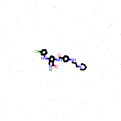 O=C(Nc1ccc(Nc2cccc(Cl)c2)c2c1C(=O)NC2)c1ccc(NCCCN2CCCCC2)cc1